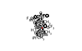 CC(C)C[C@H](C(=O)O[C@H](C)C(=O)N(C)[C@@H](CC(C)(C)F)C(=O)O[C@H](Cc1ccc(OC(F)(F)F)cc1)C(=O)OCc1ccccc1)N(C)C(=O)[C@@H](Cc1ccc(OC(F)(F)F)cc1)OC(=O)[C@H](CC(C)(C)F)N(C)C(=O)[C@@H](C)OC(=O)[C@H](CC(C)C)N(C)C(=O)OC(C)(C)C